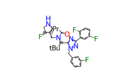 CC(C)C(=O)N(C[C@@H]1CNC[C@@H]1F)[C@@H](c1nc(-c2cc(F)ccc2F)nn1Cc1cccc(F)c1)C(C)(C)C